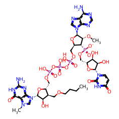 CCCCOC[C@H]1[C@@H](O)[C@H](n2c[n+](C)c3c(=O)[nH]c(N)nc32)O[C@@H]1COP(=O)(O)OP(=O)(O)OP(=O)(O)OC[C@H]1O[C@@H](n2cnc3c(N)ncnc32)[C@H](OC)[C@@H]1P(=O)([O-])OC[C@H]1O[C@@H](n2ccc(=O)[nH]c2=O)[C@H](O)[C@@H]1O